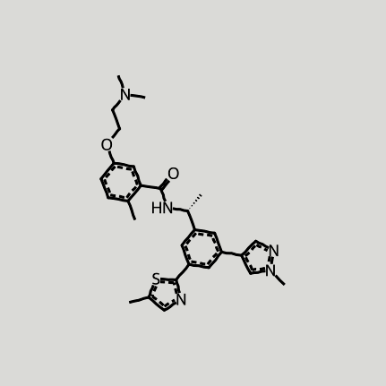 Cc1cnc(-c2cc(-c3cnn(C)c3)cc([C@@H](C)NC(=O)c3cc(OCCN(C)C)ccc3C)c2)s1